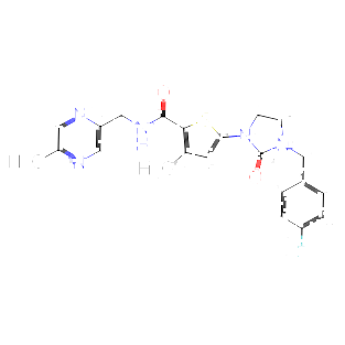 Cc1cnc(CNC(=O)c2sc(N3CCN(Cc4ccc(F)cc4)C3=O)cc2C)cn1